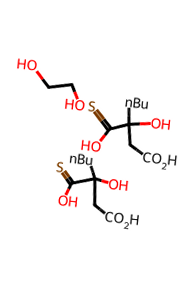 CCCCC(O)(CC(=O)O)C(O)=S.CCCCC(O)(CC(=O)O)C(O)=S.OCCO